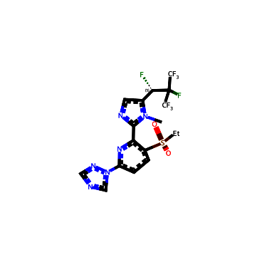 CCS(=O)(=O)c1ccc(-n2cncn2)nc1-c1ncc([C@H](F)C(F)(C(F)(F)F)C(F)(F)F)n1C